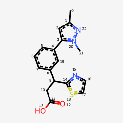 Cc1cc(-c2cccc(C(CC(=O)O)c3nccs3)c2)n(C)n1